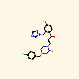 CC1CN(Cc2ccc(F)cc2)CCN1/C=C/C(=O)c1ccc(Cl)cc1Cn1cncn1